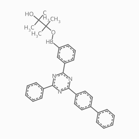 CC(C)(O)C(C)(C)OBc1cccc(-c2nc(-c3ccccc3)nc(-c3ccc(-c4ccccc4)cc3)n2)c1